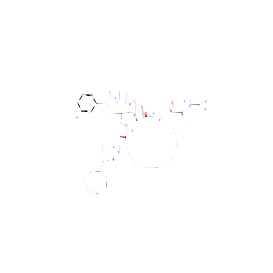 NC(C[C@@]1(O)C[C@H]2C(=O)N[C@H](C(=O)C(=O)NC3CC3)CCCCCCCCC[C@H](NC(=O)CC3CCCCCC3)C(=O)N2C1)c1cccc(Cl)c1